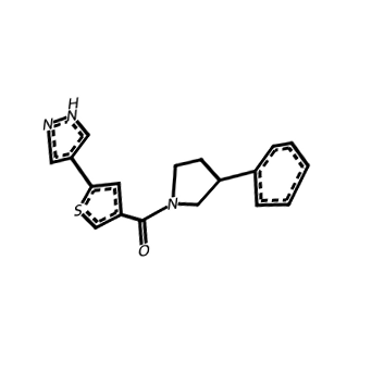 O=C(c1csc(-c2cn[nH]c2)c1)N1CCC(c2ccccc2)C1